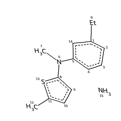 CCc1cccc(N(C)c2ccc(C)s2)c1.N